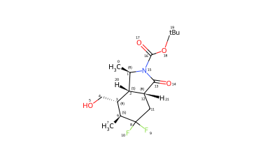 C[C@@H]1[C@H]2[C@@H](CO)[C@H](C)C(F)(F)C[C@H]2C(=O)N1C(=O)OC(C)(C)C